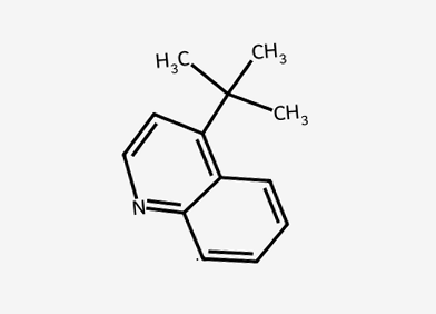 CC(C)(C)c1ccnc2[c]cccc12